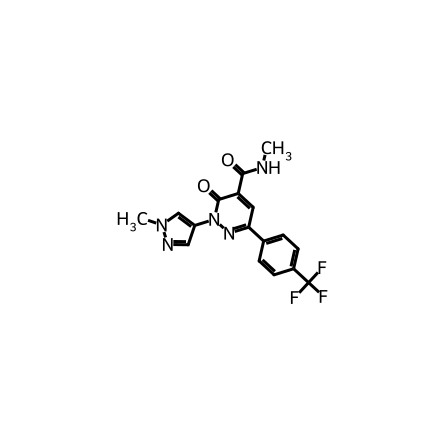 CNC(=O)c1cc(-c2ccc(C(F)(F)F)cc2)nn(-c2cnn(C)c2)c1=O